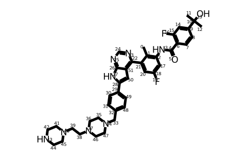 Cc1c(NC(=O)c2ccc(C(C)(C)O)cc2F)cc(F)cc1-c1ncnc2[nH]c(-c3ccc(CN4CCN(CCN5CCNCC5)CC4)cc3)cc12